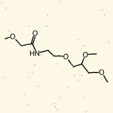 COCC(=O)NCCOCC(COC)OC